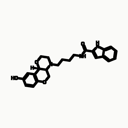 O=C(NCCCCN1CCO[C@H]2c3cc(O)ccc3OCC21)c1cc2ccccc2[nH]1